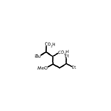 CCC(CC)CC(OC)C(C(=O)O)C(C(=O)O)C(C)CC